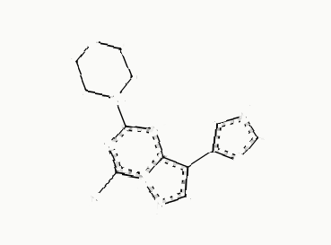 Nc1nc(N2CCOCC2)nc2c(-c3cncs3)cnn12